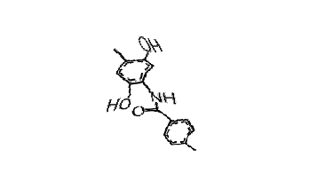 Cc1ccc(C(=O)Nc2cc(O)c(C)cc2O)cc1